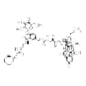 CCCC1O[C@@H]2C[C@H]3[C@@H]4CCC5=CC(=O)C=C[C@]5(C)[C@H]4[C@@H](O)C[C@]3(C)[C@]2(C(=O)COCNC(=O)CNC(=O)OCc2ccc(O[C@@H]3O[C@H](CO)[C@@H](O)[C@H](O)[C@H]3O)c(C(=O)NCCNC(=O)COC3C#CCCCCC3)c2)O1